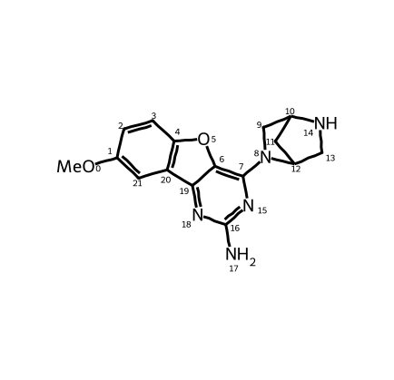 COc1ccc2oc3c(N4CC5CC4CN5)nc(N)nc3c2c1